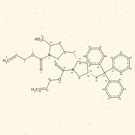 C=CCOC(=O)N1CC(C[C@@H]2C[C@H](SC(c3ccccc3)(c3ccccc3)c3ccccc3)CN2C(=O)OCC=C)CC1C(=O)O